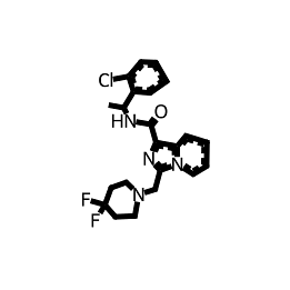 CC(NC(=O)c1nc(CN2CCC(F)(F)CC2)n2ccccc12)c1ccccc1Cl